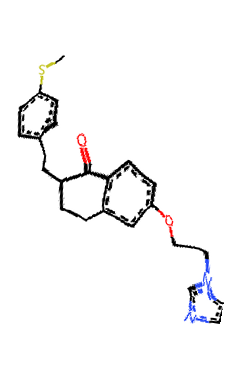 CSc1ccc(CC2CCc3cc(OCCn4ccnc4)ccc3C2=O)cc1